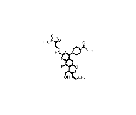 C/C=C\C(F)=C(/CO)c1c(Cl)cc2c(N3CCN(C(C)=O)CC3)nc(NCCC(=O)N(C)C)nc2c1F